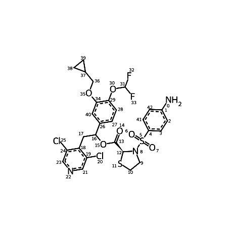 Nc1ccc(S(=O)(=O)N2CCS[C@H]2C(=O)OC(Cc2c(Cl)cncc2Cl)c2ccc(OC(F)F)c(OCC3CC3)c2)cc1